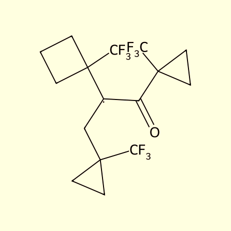 O=C([C](CC1(C(F)(F)F)CC1)C1(C(F)(F)F)CCC1)C1(C(F)(F)F)CC1